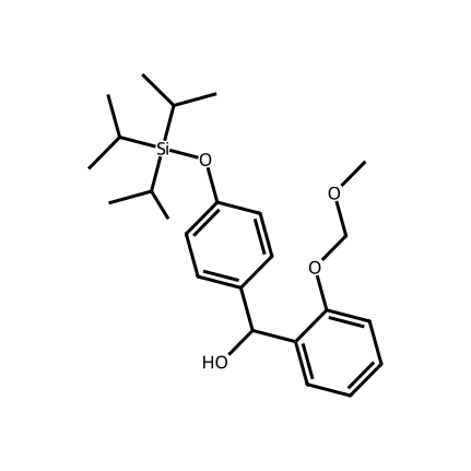 COCOc1ccccc1C(O)c1ccc(O[Si](C(C)C)(C(C)C)C(C)C)cc1